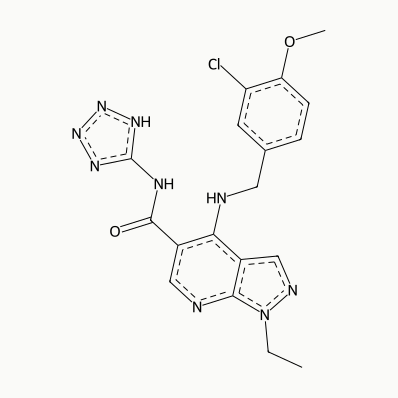 CCn1ncc2c(NCc3ccc(OC)c(Cl)c3)c(C(=O)Nc3nnn[nH]3)cnc21